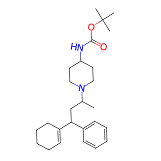 CC(CC(C1=CCCCC1)c1ccccc1)N1CCC(NC(=O)OC(C)(C)C)CC1